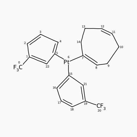 FC(F)(F)c1ccc[c]([Pt]([C]2=CCCC=CCC2)[c]2cccc(C(F)(F)F)c2)c1